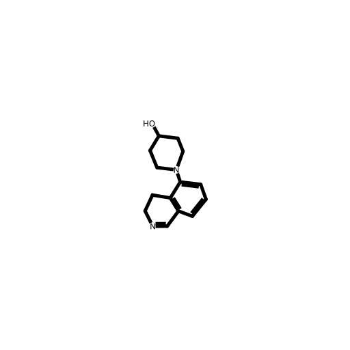 OC1CCN(c2cccc3c2CCN=C3)CC1